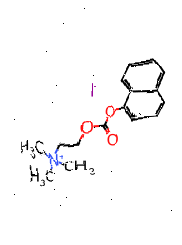 C[N+](C)(C)CCOC(=O)Oc1cccc2ccccc12.[I-]